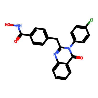 O=C(NO)c1ccc(Cc2nc3ccccc3c(=O)n2-c2ccc(Cl)cc2)cc1